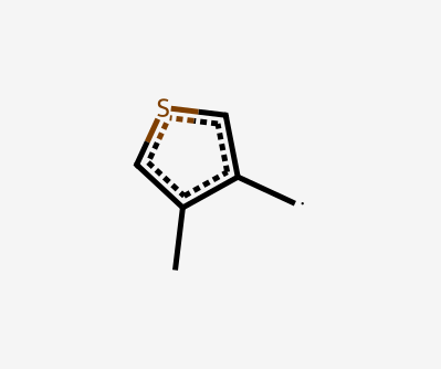 [CH2]c1cscc1C